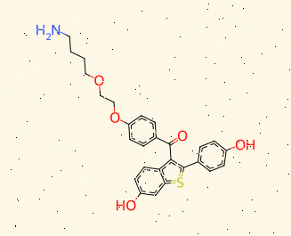 NCCCCOCCOc1ccc(C(=O)c2c(-c3ccc(O)cc3)sc3cc(O)ccc23)cc1